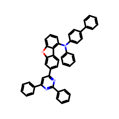 c1ccc(-c2ccc(N(c3ccccc3)c3cccc4oc5cc(-c6cc(-c7ccccc7)nc(-c7ccccc7)n6)ccc5c34)cc2)cc1